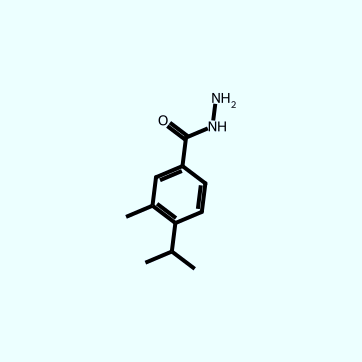 Cc1cc(C(=O)NN)ccc1C(C)C